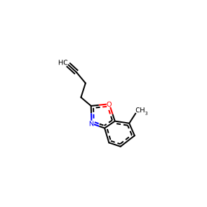 C#CCCc1nc2cccc(C)c2o1